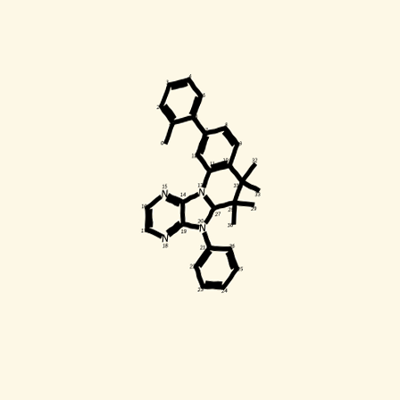 Cc1ccccc1-c1ccc2c(c1)N1c3nccnc3N(c3ccccc3)C1C(C)(C)C2(C)C